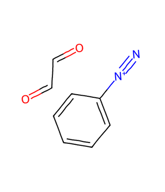 N#[N+]c1ccccc1.O=CC=O